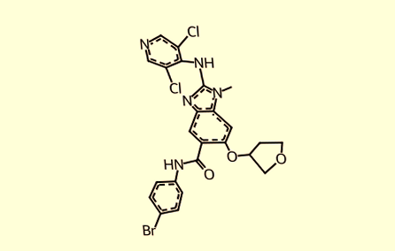 Cn1c(Nc2c(Cl)cncc2Cl)nc2cc(C(=O)Nc3ccc(Br)cc3)c(OC3CCOC3)cc21